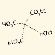 CCCCCCCCC(C(=O)O)(C(=O)OCC)C(=O)OCC